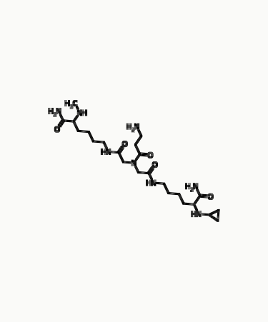 CNC(CCCCNC(=O)CN(CC(=O)NCCCCC(NC1CC1)C(N)=O)C(=O)CCN)C(N)=O